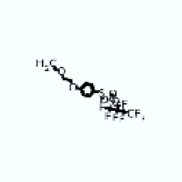 C=COCCOc1ccc(SOS(=O)(=O)C(F)(F)C(F)(F)C(F)(F)C(F)(F)F)cc1